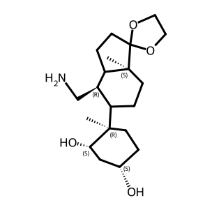 C[C@]12CCC([C@@]3(C)CC[C@H](O)C[C@@H]3O)[C@@H](CN)C1CCC21OCCO1